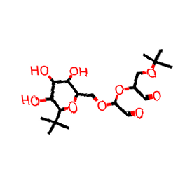 CC(C)(C)OCC(C=O)OC(C=O)OCC1OC(C(C)(C)C)C(O)C(O)C1O